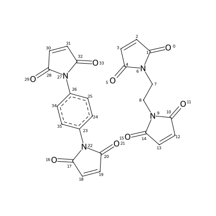 O=C1C=CC(=O)N1CCN1C(=O)C=CC1=O.O=C1C=CC(=O)N1c1ccc(N2C(=O)C=CC2=O)cc1